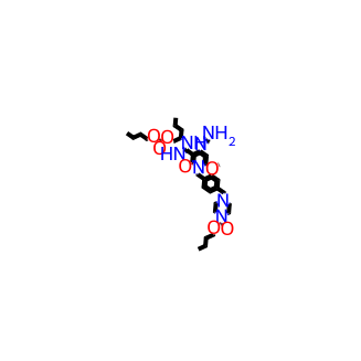 CCCCOC(=O)OCC(CCC)NC(=N)c1c(/N=C/N)ccn(Cc2ccc(CN3CCN(C(=O)OCCCC)CC3)cc2OC)c1=O